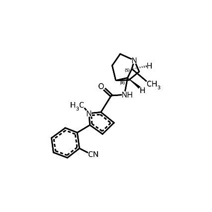 C[C@H]1[C@H](NC(=O)c2ccc(-c3ccccc3C#N)n2C)C2CCN1CC2